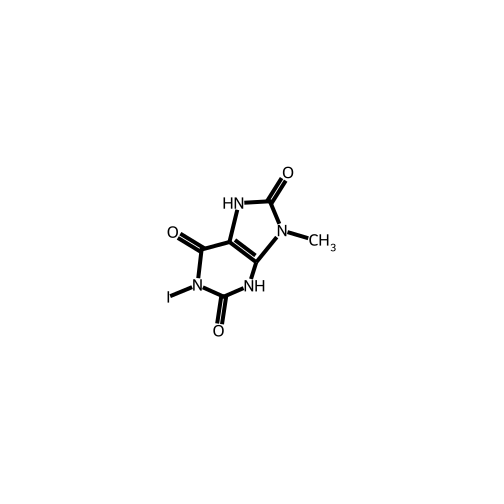 Cn1c(=O)[nH]c2c(=O)n(I)c(=O)[nH]c21